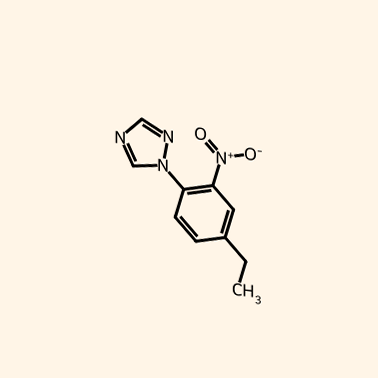 CCc1ccc(-n2cncn2)c([N+](=O)[O-])c1